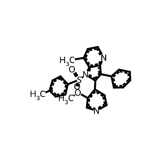 COc1cnccc1-c1c(-c2ccccc2)c2nccc(C)c2n1S(=O)(=O)c1ccc(C)cc1